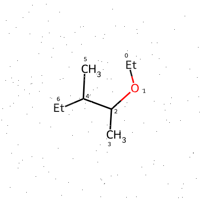 CCOC(C)C(C)CC